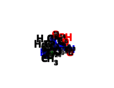 CC(c1nc(C(=O)Nc2cnoc2)c(O)c(=O)n1C)C(c1ccccc1Cl)c1cn(C)nc1C#N